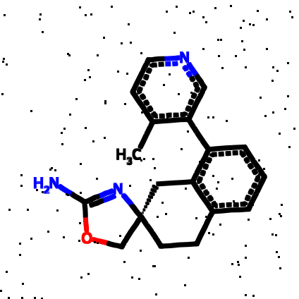 Cc1ccncc1-c1cccc2c1C[C@]1(CC2)COC(N)=N1